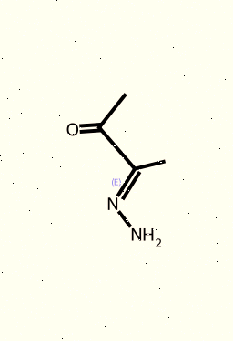 CC(=O)/C(C)=N/N